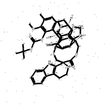 COc1c(C)cc2c(c1OC(=O)OC(C)(C)C)[C@@H]1C3[C@@H]4SC[C@]5(NCCc6c5[nH]c5ccccc65)C(=O)OC[C@@H](c5c6c(c(C)c(O)c54)OCO6)N3[C@@H](O)[C@H](C2)N1C